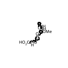 COc1cc(CC(=O)N2CCCN(C(=O)CNCC(C)C(=O)O)CC2)ccc1NC(=O)Nc1ccccc1C